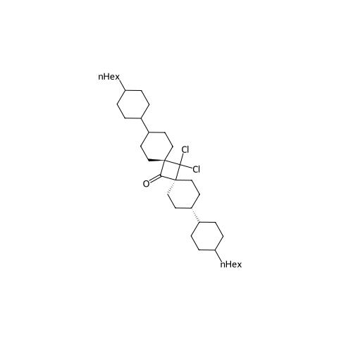 CCCCCCC1CCC(C2CC[C@]3(CC2)C(=O)[C@@]2(CC[C@@H](C4CCC(CCCCCC)CC4)CC2)C3(Cl)Cl)CC1